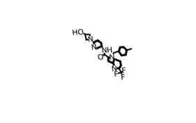 Cc1ccc(Cn2c(C(=O)Nc3ccc(N4CC(O)C4)nc3)cc3nc(C(F)(F)F)ccc32)cc1